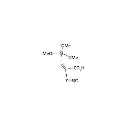 CCCCCCCC(=C[Si](OC)(OC)OC)C(=O)O